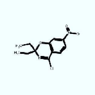 CCC1(CC)N=C(Cl)c2ccc([N+](=O)[O-])cc2O1